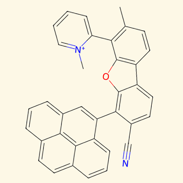 Cc1ccc2c(oc3c(-c4cc5cccc6ccc7cccc4c7c65)c(C#N)ccc32)c1-c1cccc[n+]1C